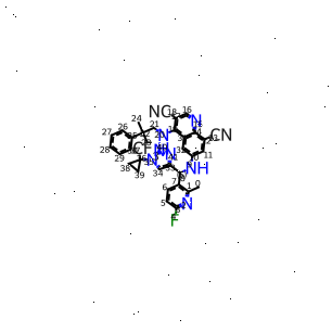 Cc1nc(F)ccc1[C@H](Nc1cc(C#N)c2ncc(C#N)c(NCC(C)(C)c3ccccc3)c2c1)c1cn(C2(C(F)(F)F)CC2)nn1